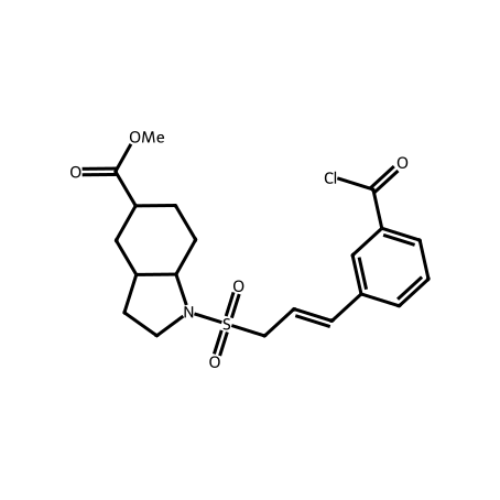 COC(=O)C1CCC2C(CCN2S(=O)(=O)CC=Cc2cccc(C(=O)Cl)c2)C1